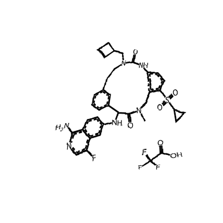 CN1Cc2cc(ccc2S(=O)(=O)C2CC2)NC(=O)N(CC2CCC2)CCc2cccc(c2)C(Nc2ccc3c(N)ncc(F)c3c2)C1=O.O=C(O)C(F)(F)F